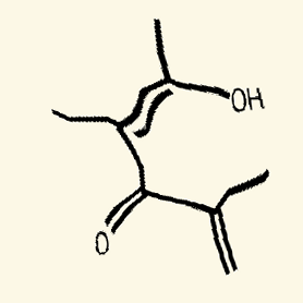 C=C(C)C(=O)C(C)=C(C)O